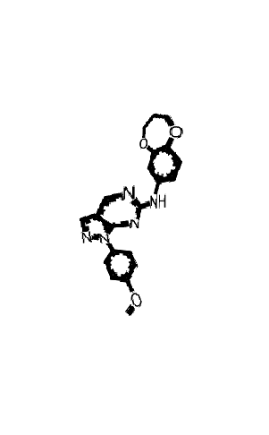 COc1ccc(-n2ncc3cnc(Nc4ccc5c(c4)OCCCO5)nc32)cc1